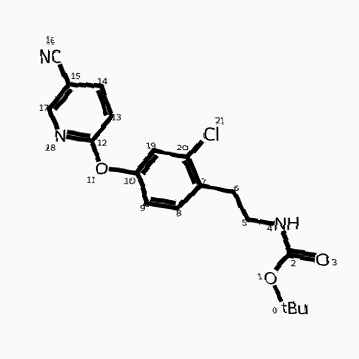 CC(C)(C)OC(=O)NCCc1ccc(Oc2ccc(C#N)cn2)cc1Cl